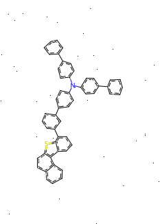 c1ccc(-c2ccc(N(c3ccc(-c4ccccc4)cc3)c3ccc(-c4cccc(-c5cccc6c5sc5ccc7ccccc7c56)c4)cc3)cc2)cc1